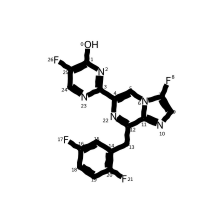 Oc1nc(-c2cn3c(F)cnc3c(Cc3cc(F)ccc3F)n2)ncc1F